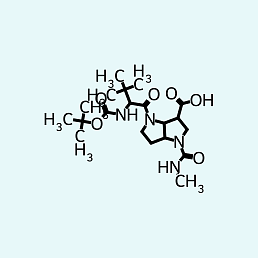 CNC(=O)N1CC(C(=O)O)C2C1CCN2C(=O)C(NC(=O)OC(C)(C)C)C(C)(C)C